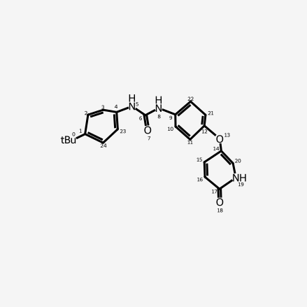 CC(C)(C)c1ccc(NC(=O)Nc2ccc(Oc3ccc(=O)[nH]c3)cc2)cc1